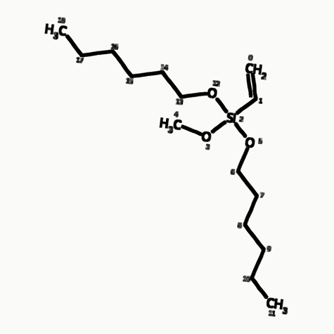 C=C[Si](OC)(OCCCCCC)OCCCCCC